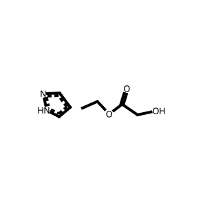 CCOC(=O)CO.c1cn[nH]c1